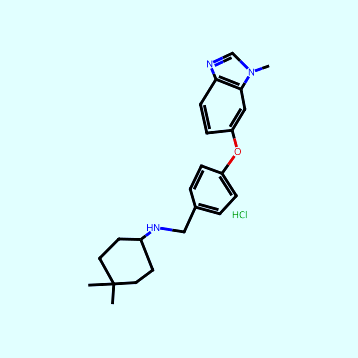 Cl.Cn1cnc2ccc(Oc3ccc(CNC4CCC(C)(C)CC4)cc3)cc21